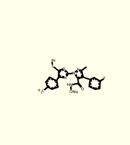 CONC(=O)c1c(-c2cccc(F)c2)c(C)nn1-c1nc(-c2ccc(C(F)(F)F)cc2)c(SC(C)C)s1